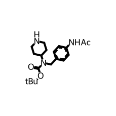 CC(=O)Nc1ccc(CN(C(=O)OC(C)(C)C)C2CCNCC2)cc1